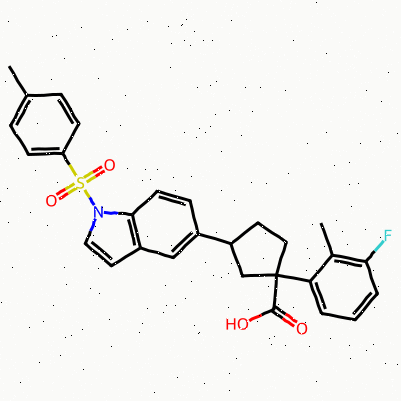 Cc1ccc(S(=O)(=O)n2ccc3cc(C4CCC(C(=O)O)(c5cccc(F)c5C)C4)ccc32)cc1